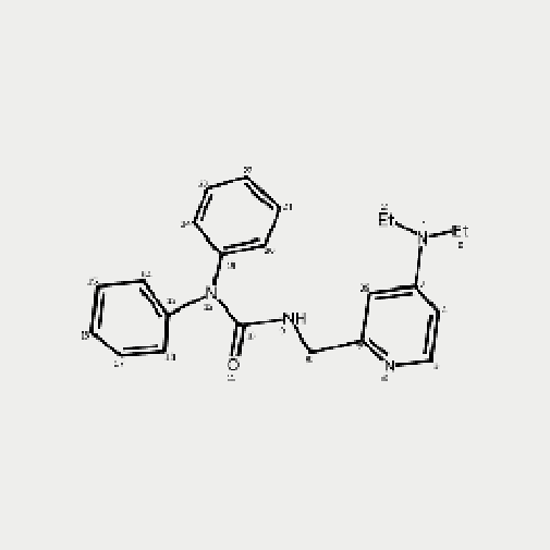 CCN(CC)c1ccnc(CNC(=O)N(c2ccccc2)c2ccccc2)c1